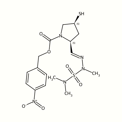 CN(C)S(=O)(=O)N(C)N=C[C@@H]1C[C@H](S)CN1C(=O)OCc1ccc([N+](=O)[O-])cc1